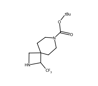 CC(C)(C)OC(=O)N1CCC2(CC1)CNC2C(F)(F)F